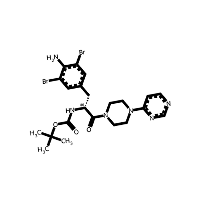 CC(C)(C)OC(=O)N[C@H](Cc1cc(Br)c(N)c(Br)c1)C(=O)N1CCN(c2ccncn2)CC1